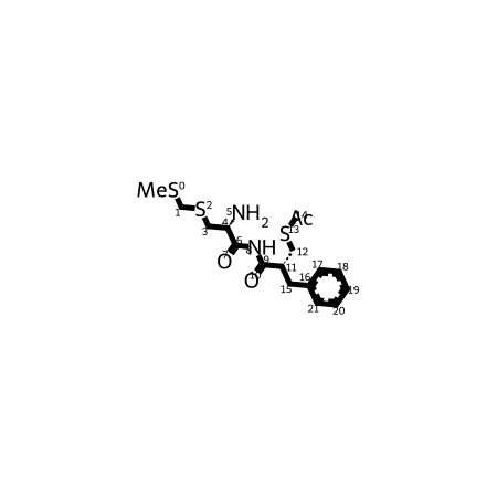 CSCSC[C@H](N)C(=O)NC(=O)[C@H](CSC(C)=O)Cc1ccccc1